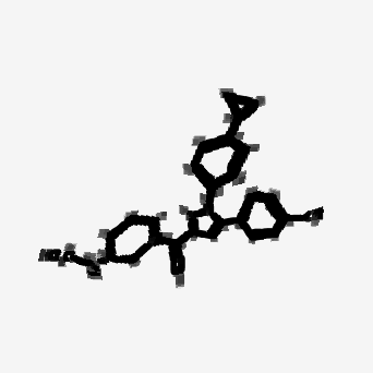 N#Cc1ccc(-c2cc(C(=O)N3CCC[C@@H](NC(=O)O)C3)nn2-c2ccc(C3CC3)cc2)cc1